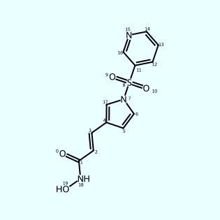 O=C(/C=C/c1ccn(S(=O)(=O)c2cccnc2)c1)NO